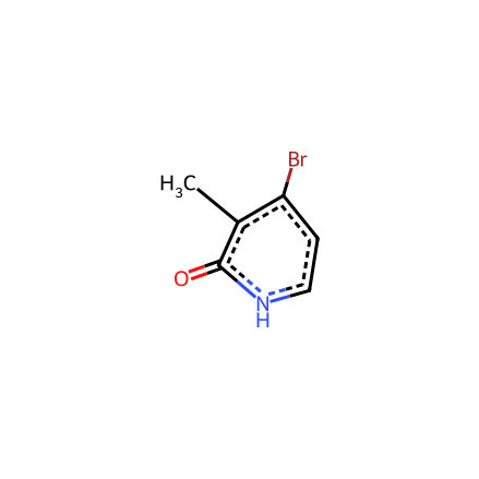 Cc1c(Br)cc[nH]c1=O